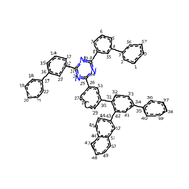 c1ccc(-c2cccc(-c3nc(-c4cccc(-c5ccccc5)c4)nc(-c4cccc(-c5ccc(-c6ccccc6)cc5-c5ccc6ccccc6c5)c4)n3)c2)cc1